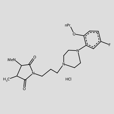 CCCOc1ccc(F)cc1N1CCN(CCCN2C(=O)C(C)C(NC)C2=O)CC1.Cl